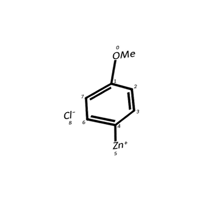 COc1cc[c]([Zn+])cc1.[Cl-]